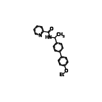 CCOc1ccc(-c2ccc(C(C)NC(=O)c3ccccn3)cc2)cc1